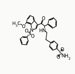 COc1cccc2c(C(=O)C(NCCc3ccc(S(N)(=O)=O)cc3)c3ccccc3)cn(S(=O)(=O)c3ccccc3)c12